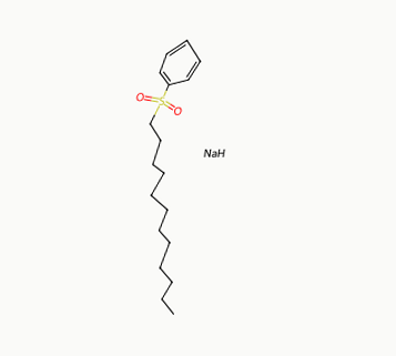 CCCCCCCCCCCCS(=O)(=O)c1ccccc1.[NaH]